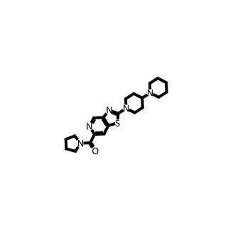 O=C(c1cc2sc(N3CCC(N4CCCCC4)CC3)nc2cn1)N1CCCC1